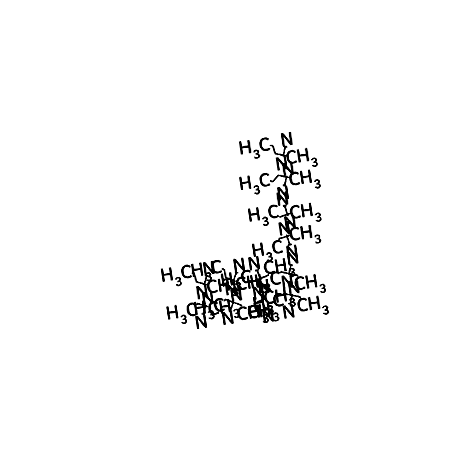 CCC(C#N)(CC)N=NC(C#N)(CC)CC.CCC(C)(C#N)N=NC(C#N)(CC)CC.CCC(C)(C#N)N=NC(C)(C#N)CC.CCCC(C)(C#N)N=NC(C#N)(CC)CC.CCCC(C)(C#N)N=NC(C)(C#N)CC.CCCC(C)(C#N)N=NC(C)(C#N)CCC